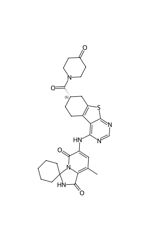 Cc1cc(Nc2ncnc3sc4c(c23)CC[C@H](C(=O)N2CCC(=O)CC2)C4)c(=O)n2c1C(=O)NC21CCCCC1